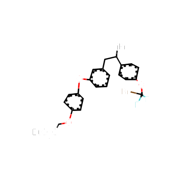 CCOC(=O)COc1ccc(Oc2cccc(C[C](c3ccc(OC(F)(F)Br)cc3)C(C)C)c2)cc1